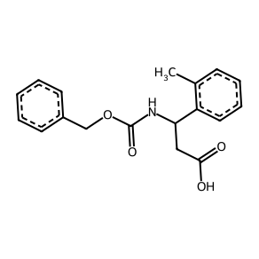 Cc1ccccc1C(CC(=O)O)NC(=O)OCc1ccccc1